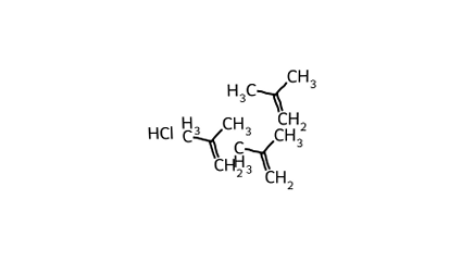 C=C(C)C.C=C(C)C.C=C(C)C.Cl